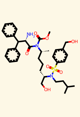 COC(=O)N(C(=O)[C@@H](N)C(c1ccccc1)c1ccccc1)[C@H](C)CCC[C@@H](CO)N(CCC(C)C)S(=O)(=O)c1ccc(CO)cc1